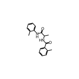 Cc1ccccc1NC(=O)C(C)NC(=O)c1ccccc1C